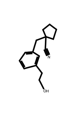 N#CC1(Cc2cccc(CCO)c2)CCCC1